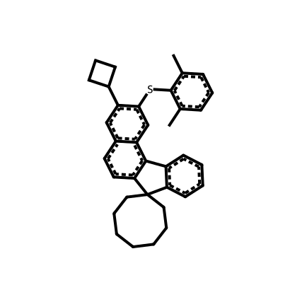 Cc1cccc(C)c1Sc1cc2c3c(ccc2cc1C1CCC1)C1(CCCCCCC1)c1ccccc1-3